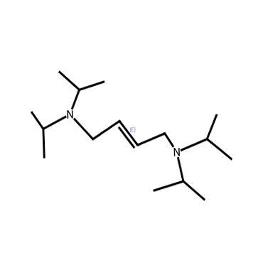 CC(C)N(C/C=C/CN(C(C)C)C(C)C)C(C)C